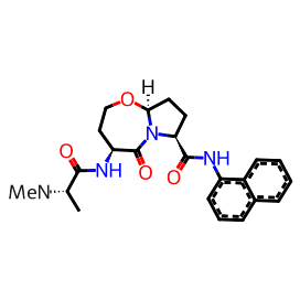 CN[C@@H](C)C(=O)N[C@H]1CCO[C@H]2CC[C@@H](C(=O)Nc3cccc4ccccc34)N2C1=O